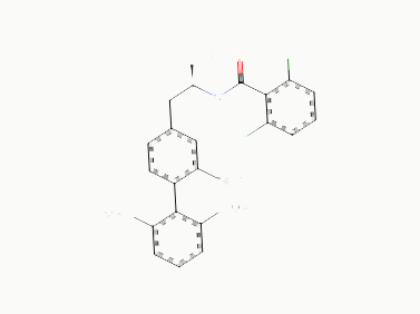 CCOC(=O)[C@H](Cc1ccc(-c2c(OC)cccc2OC)c(NC(C)=O)c1)NC(=O)c1c(Cl)cccc1Cl